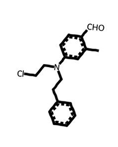 Cc1cc(N(CCCl)CCc2ccccc2)ccc1C=O